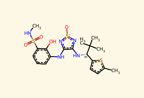 CNS(=O)(=O)c1cccc(Nc2n[s+]([O-])nc2N[C@@H](c2ccc(C)s2)C(C)(C)C)c1O